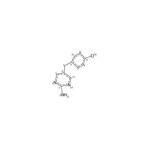 Nc1ncc(Cc2ccc(Cl)cc2)cn1